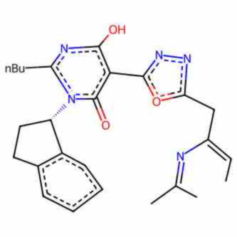 C/C=C(/Cc1nnc(-c2c(O)nc(CCCC)n([C@H]3CCc4ccccc43)c2=O)o1)N=C(C)C